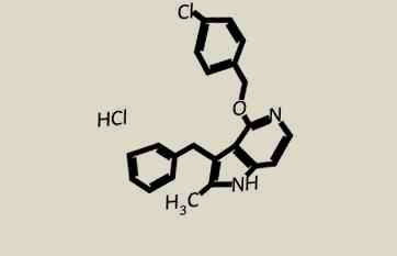 Cc1[nH]c2ccnc(OCc3ccc(Cl)cc3)c2c1Cc1ccccc1.Cl